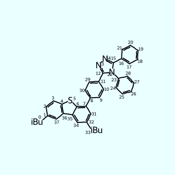 CCC(C)c1ccc2sc3c(-c4ccc(-c5nnc(-c6ccccc6)n5-c5ccccc5)cc4)cc(C(C)CC)cc3c2c1